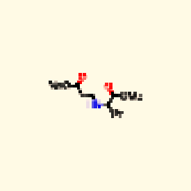 COC(=O)CCNC(C(=O)OC)C(C)C